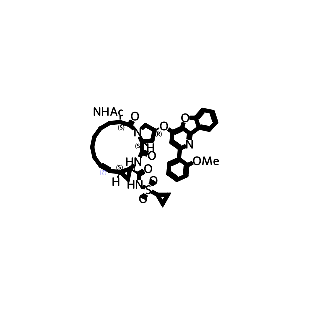 COc1ccccc1-c1cc(O[C@@H]2C[C@H]3C(=O)N[C@]4(C(=O)NS(=O)(=O)C5CC5)C[C@H]4/C=C\CCCCC[C@H](NC(C)=O)C(=O)N3C2)c2oc3ccccc3c2n1